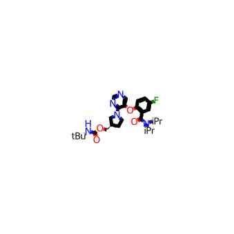 CC(C)N(C(=O)c1cc(F)ccc1Oc1cncnc1N1CC[C@H](COC(=O)NC(C)(C)C)C1)C(C)C